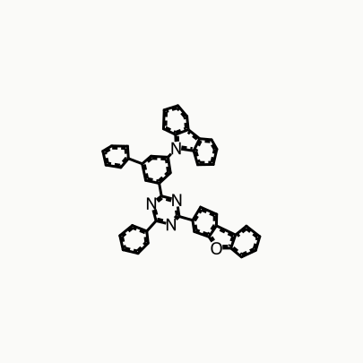 c1ccc(-c2cc(-c3nc(-c4ccccc4)nc(-c4ccc5c(c4)oc4ccccc45)n3)cc(-n3c4ccccc4c4ccccc43)c2)cc1